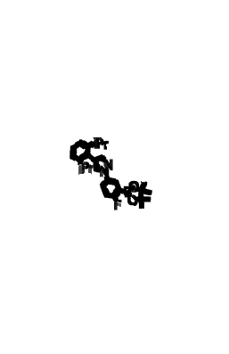 CC(C)c1cccc(C(C)C)c1-c1cnn(-c2ccc(F)c(B3OC(C)(C)C(C)(C)O3)c2)c1